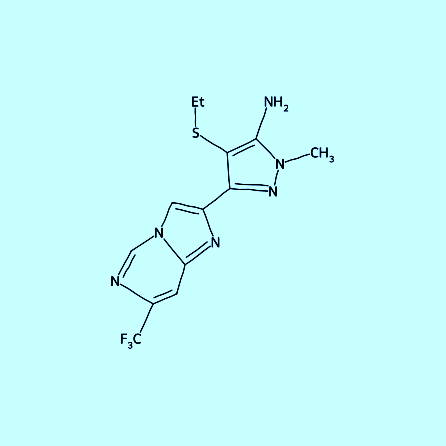 CCSc1c(-c2cn3cnc(C(F)(F)F)cc3n2)nn(C)c1N